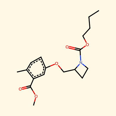 CCCCOC(=O)N1CCC1COc1ccc(C)c(C(=O)OC)c1